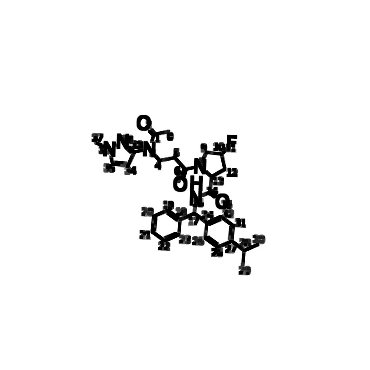 CC(=O)N(CCC(=O)N1CC(F)CC1C(=O)NC(c1ccccc1)c1ccc(C(C)C)cc1)c1ccn(C)n1